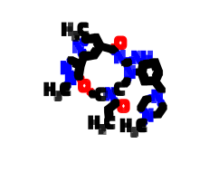 C=CC(=O)N1CCOc2c(cnn2C)-c2cc(cc(C)n2)C(=O)/N=C2\Nc3ccc(CN4CCN(C)CC4)cc3N2CC1